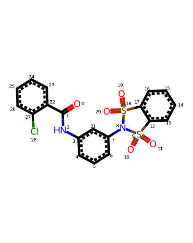 O=C(Nc1cccc(N2S(=O)(=O)c3ccccc3S2(=O)=O)c1)c1ccccc1Cl